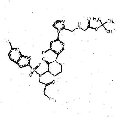 COC(=O)CN(C1CCCN(c2ccc(-n3ccnc3CNCC(=O)OC(C)(C)C)cc2F)C1=O)S(=O)(=O)c1cc2ccc(Cl)nc2s1